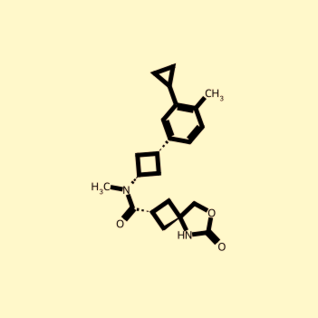 Cc1ccc([C@H]2C[C@@H](N(C)C(=O)[C@H]3C[C@]4(COC(=O)N4)C3)C2)cc1C1CC1